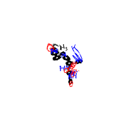 CC(=O)N1CC=C(c2ccccc2[C@H]2CCCN2c2ccc(-c3ccc(C(=O)NS(=O)(=O)c4ccc(NCC5CCOCC5)c([N+](=O)[O-])c4)c(Oc4cnc5[nH]ccc5c4)c3)cc2)CC1